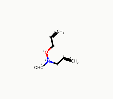 C=CCON(C=O)CC=C